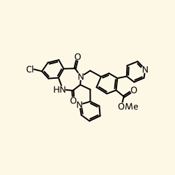 COC(=O)c1ccc(CN2C(=O)c3ccc(Cl)cc3NC(=O)C2Cc2ccccn2)cc1-c1ccncc1